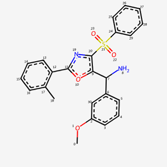 COc1cccc(C(N)c2oc(-c3ccccc3C)nc2S(=O)(=O)c2ccccc2)c1